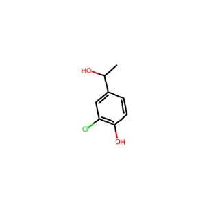 CC(O)c1ccc(O)c(Cl)c1